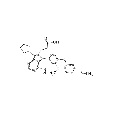 CCCc1cccc(Oc2ccc(-c3c(CCC(=O)O)c(C4CCCC4)n4ncnc(N)c34)cc2OC)c1